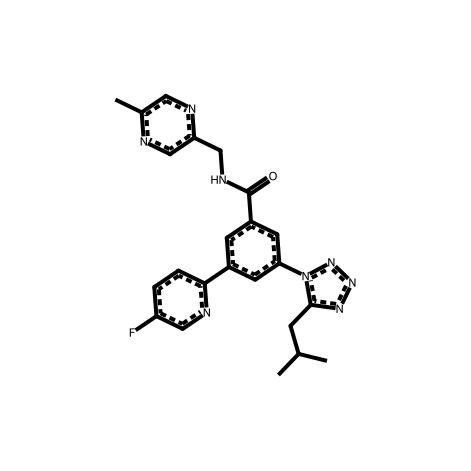 Cc1cnc(CNC(=O)c2cc(-c3ccc(F)cn3)cc(-n3nnnc3CC(C)C)c2)cn1